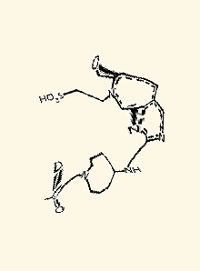 CS(=O)(=O)N1CCC(Nc2ncc3ccc(=O)n(CCS(=O)(=O)O)c3n2)CC1